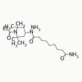 CCC(=O)N1C(C)(C)CC(N(N)C(=O)CCCCCCCC(N)=O)CC1(C)C